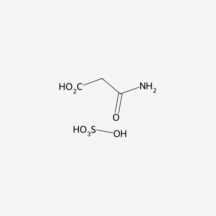 NC(=O)CC(=O)O.O=S(=O)(O)O